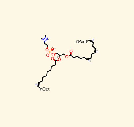 CCCCC/C=C\C/C=C\C/C=C\CCCCC(=O)OC[C@H](COP(=O)([O-])OCC[N+](C)(C)C)OC(=O)CCCCCCC/C=C\CCCCCCCC